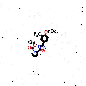 CCCCCCCCOc1ccc(-c2noc(C3C=CCN3C(=O)OC(C)(C)C)n2)cc1C(F)(F)F